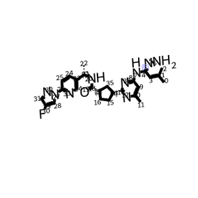 CC(C)=C/C(=N\N)Nc1cc(C)nc([C@@H]2CC[C@H](C(=O)N[C@@H](C)c3ccc(-n4cc(F)cn4)nc3)C2)n1